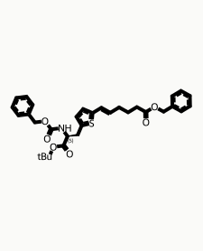 CC(C)(C)OC(=O)[C@H](Cc1ccc(C=CCCCC(=O)OCc2ccccc2)s1)NC(=O)OCc1ccccc1